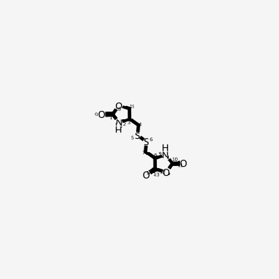 O=C1NC(CSSCC2NC(=O)OC2=O)CO1